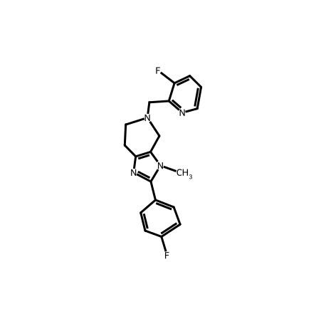 Cn1c(-c2ccc(F)cc2)nc2c1CN(Cc1ncccc1F)CC2